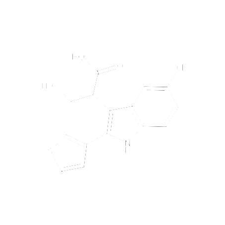 CCC(C(=O)O)c1c(-c2ccsc2)[nH]c2ccc(Cl)cc12